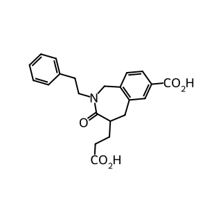 O=C(O)CCC1Cc2cc(C(=O)O)ccc2CN(CCc2ccccc2)C1=O